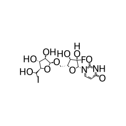 O=c1ccn([C@@H]2O[C@H](CO[C@H]3O[C@@H](C(O)I)[C@H](O)[C@H]3O)[C@@H](O)[C@]2(O)F)c(=O)[nH]1